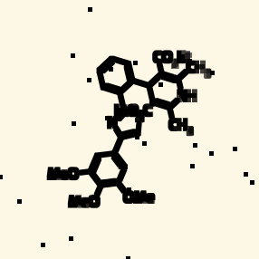 CCOC(=O)C1=C(C)NC(C)=C(C(=O)OCC)C1c1ccccc1-c1nc(-c2cc(OC)c(OC)c(OC)c2)cs1